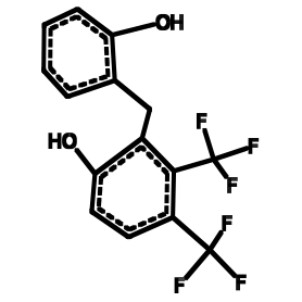 Oc1ccccc1Cc1c(O)ccc(C(F)(F)F)c1C(F)(F)F